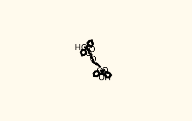 O=C(OCC#CCOCCOC(=O)C(O)(c1ccccc1)C1CCCCC1)C(O)(c1ccccc1)C1CCCCC1